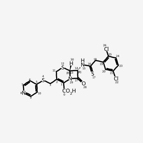 O=C(O)C1=C(CSc2ccncc2)CS[C@@H]2[C@H](NC(=S)Cc3cc(Cl)ccc3Cl)C(=O)N12